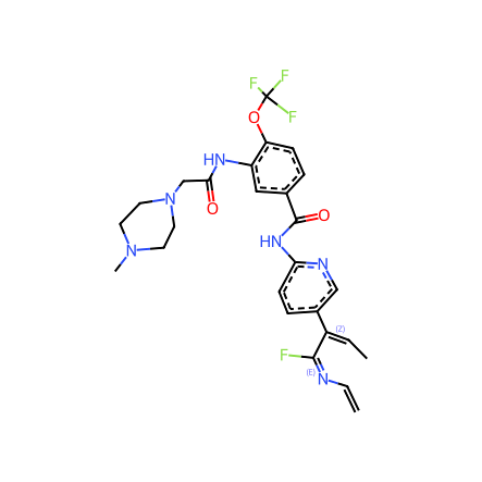 C=C/N=C(F)\C(=C/C)c1ccc(NC(=O)c2ccc(OC(F)(F)F)c(NC(=O)CN3CCN(C)CC3)c2)nc1